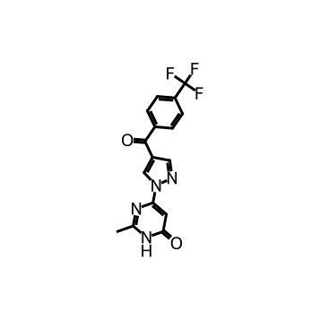 Cc1nc(-n2cc(C(=O)c3ccc(C(F)(F)F)cc3)cn2)cc(=O)[nH]1